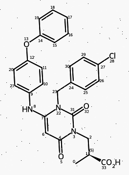 C[C@@H](Cn1c(=O)cc(Nc2ccc(Oc3ccccc3)cc2)n(Cc2ccc(Cl)cc2)c1=O)C(=O)O